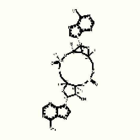 Nc1ncnc2c1ncn2[C@@H]1O[C@@H]2CO[P@@](=O)(S)O[C@@H]3[C@H](F)[C@@H](CO[PH](=O)O[C@H]2[C@H]1O)O[C@H]3n1cnc2c(N)ncnc21